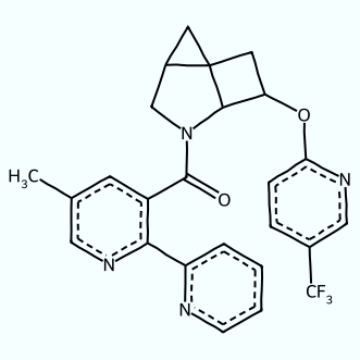 Cc1cnc(-c2ccccn2)c(C(=O)N2CC3CC34CC(Oc3ccc(C(F)(F)F)cn3)C24)c1